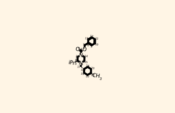 CC(C)[C@H]1CN(C(=O)OCc2ccccc2)CCN1C[C@H]1CC[C@@H](C)CC1